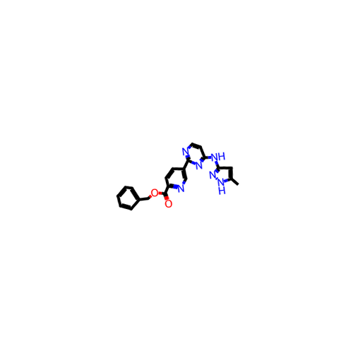 Cc1cc(Nc2ccnc(-c3ccc(C(=O)OCc4ccccc4)nc3)n2)n[nH]1